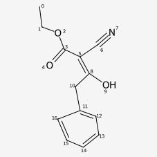 CCOC(=O)C(C#N)=C(O)Cc1ccccc1